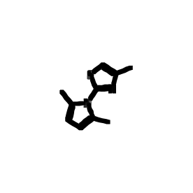 Cc1csc(-n2c(C)ccc2C)n1